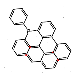 c1ccc(-c2cccc(P(c3ccccc3)c3ccccc3)c2-c2cccc3ccccc23)cc1